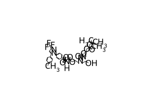 Cc1ccc(-c2cc(C(F)(F)F)nn2-c2ccc(S(=O)(=O)NC(=O)OCCN(CCO)/[N+]([O-])=N/OCOC(=O)OC(C)(C)C)cc2)cc1